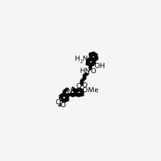 COc1ccc2cc3[n+](cc2c1OC(=O)CCCCNC(=O)c1cc(N)c2ccccc2c1O)CCc1cc2c(cc1-3)OCO2